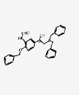 O=CNc1cc([C@@H](O)CN(Cc2ccccc2)Cc2ccccc2)ccc1OCc1ccccc1